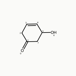 O=C1CC=CC(O)C1